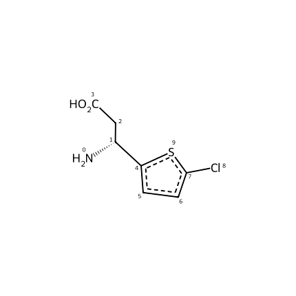 N[C@H](CC(=O)O)c1ccc(Cl)s1